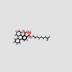 CC(C)CCCCCCCOC(=O)c1ccc(C2CCCCC2)c(C2CCCCC2)c1C(=O)O